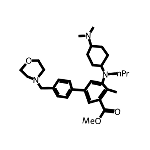 CCCN(c1cc(-c2ccc(CN3CCOCC3)cc2)cc(C(=O)OC)c1C)C1CCC(N(C)C)CC1